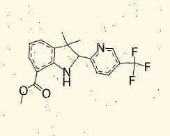 COC(=O)c1cccc2c1NC(c1ccc(C(F)(F)F)cn1)C2(C)C